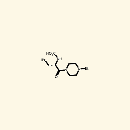 CCN1CCN(C(=O)[C@H](CC(C)C)NC(=O)O)CC1